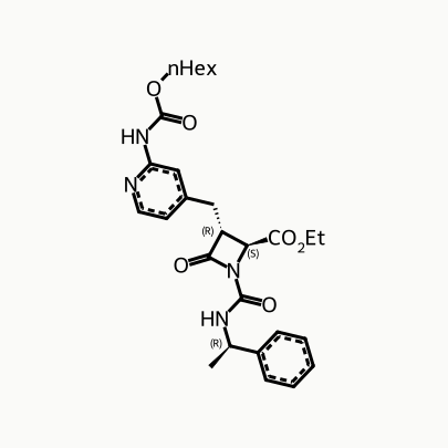 CCCCCCOC(=O)Nc1cc(C[C@H]2C(=O)N(C(=O)N[C@H](C)c3ccccc3)[C@@H]2C(=O)OCC)ccn1